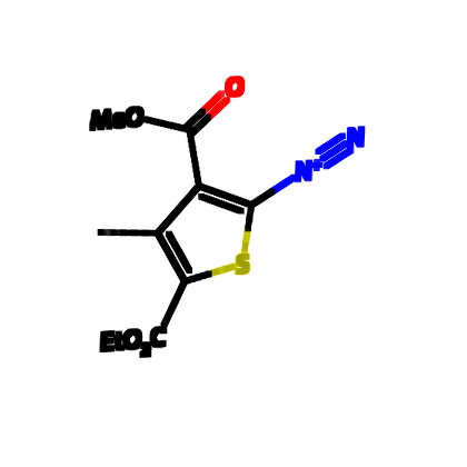 CCOC(=O)c1sc([N+]#N)c(C(=O)OC)c1C